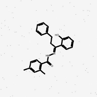 Cc1ccc(C(=O)N/N=C(\CCc2ccccc2)c2ccccc2O)c(C)c1